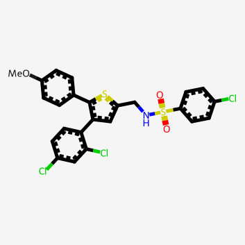 COc1ccc(-c2sc(CNS(=O)(=O)c3ccc(Cl)cc3)cc2-c2ccc(Cl)cc2Cl)cc1